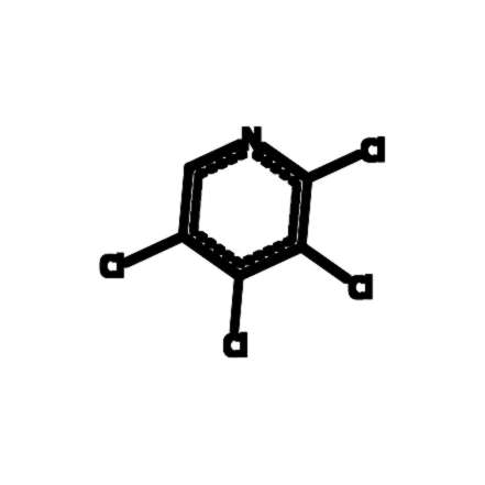 Clc1cnc(Cl)c(Cl)c1Cl